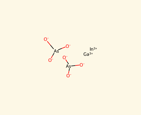 [Ga+3].[In+3].[O-][As]([O-])[O-].[O-][As]([O-])[O-]